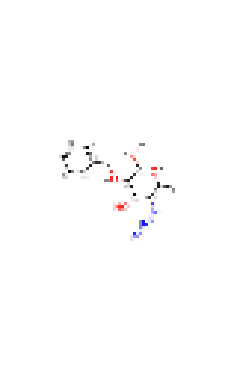 CO[C@H]1OC(C)C(N=[N+]=[N-])C(O)C1OCc1ccccc1